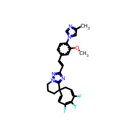 COc1cc(/C=C/c2nc3n(n2)CCCC32/C=C/C(F)=C(F)\C(F)=C/C2)ccc1-n1cnc(C)c1